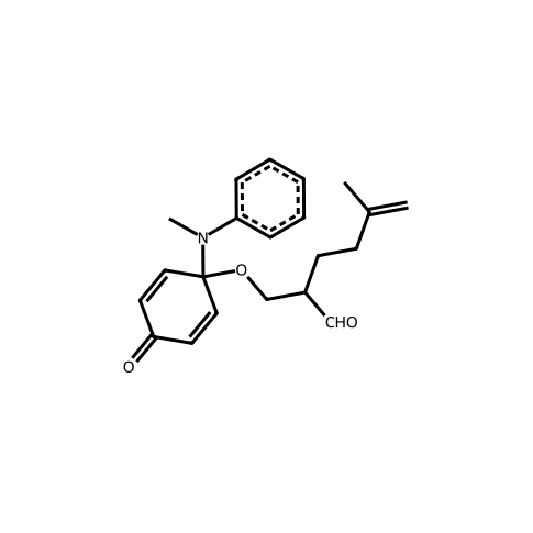 C=C(C)CCC(C=O)COC1(N(C)c2ccccc2)C=CC(=O)C=C1